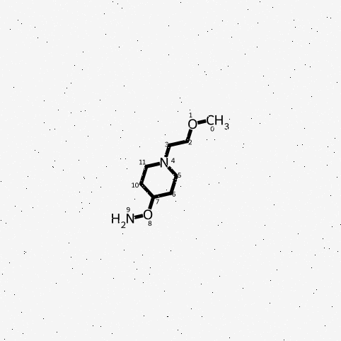 COCCN1CCC(ON)CC1